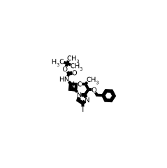 CC(C)C(OCc1ccccc1)c1nc(I)cn1C12CC(NC(=O)OC(C)(C)C)(C1)C2